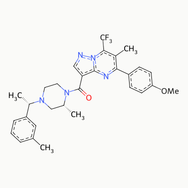 COc1ccc(-c2nc3c(C(=O)N4CCN([C@@H](C)c5cccc(C)c5)C[C@H]4C)cnn3c(C(F)(F)F)c2C)cc1